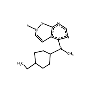 CCC1CCC(N(C)c2ncnc3c2C=CN(I)S3)CC1